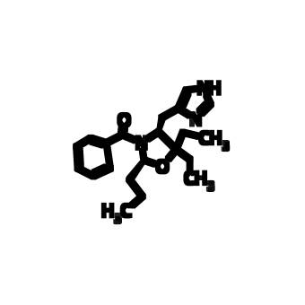 CCC[C@@H]1OC(CC)(CC)[C@H](Cc2c[nH]cn2)N1C(=O)c1ccccc1